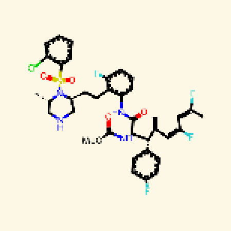 C=C(/C=C(F)\C=C(/C)F)[C@H](c1ccc(F)cc1)[C@H](NC(=O)OC)C(=O)Nc1cccc(F)c1CC[C@H]1CNC[C@H](C)N1S(=O)(=O)c1ccccc1Cl